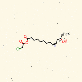 CCCCCC[C@@H](O)C/C=C\CCCCCCCC(=O)OC(=O)CCl